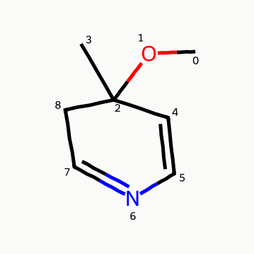 COC1(C)C=CN=CC1